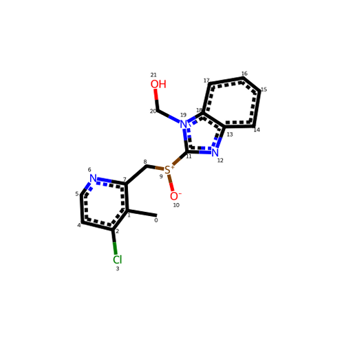 Cc1c(Cl)ccnc1C[S+]([O-])c1nc2ccccc2n1CO